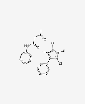 CC(=O)CC(=O)Nc1ccccc1.Cc1c(-c2ccccc2)n(Cl)n(Cl)c1=O